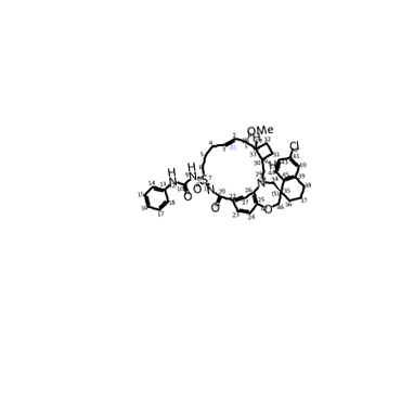 CO[C@H]1/C=C/CCC[S@@](=O)(NC(=O)Nc2ccccc2)=NC(=O)c2ccc3c(c2)N(C[C@@H]2CC[C@H]21)C[C@@]1(CCCc2cc(Cl)ccc21)CO3